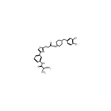 C[C@H](N)C(=O)Nc1cccc(-c2csc(SCC(=O)NC3CCN(Cc4ccc(Cl)c(Cl)c4)CC3)n2)c1